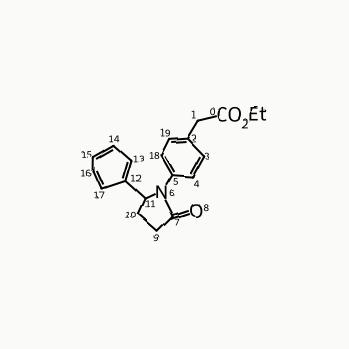 CCOC(=O)Cc1ccc(N2C(=O)CCC2c2ccccc2)cc1